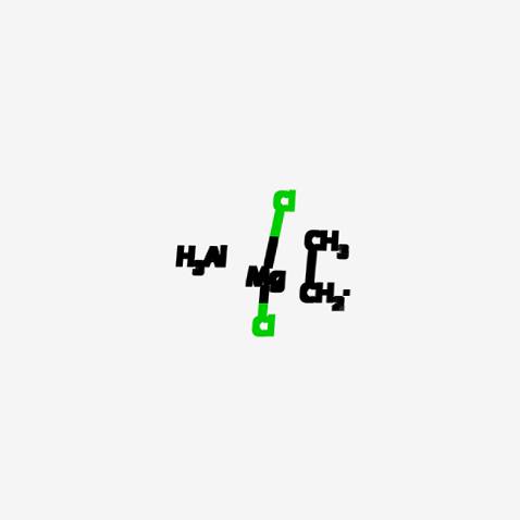 [AlH3].[CH2]C.[Cl][Mg][Cl]